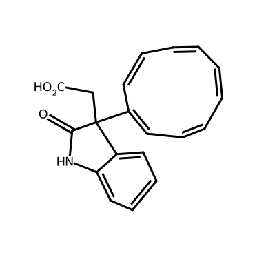 O=C(O)CC1(c2ccccccccc2)C(=O)Nc2ccccc21